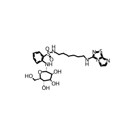 O=S(=O)(NCCCCCCNc1nsc2nccn12)c1ccccc1N[C@H]1O[C@H](CO)[C@@H](O)[C@H](O)[C@H]1O